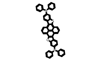 c1ccc(N(c2ccccc2)c2ccc3c(c2)oc2c4cccc5c6c7ccc(N(c8ccccc8)c8ccccc8)cc7sc6c6cccc(c32)c6c45)cc1